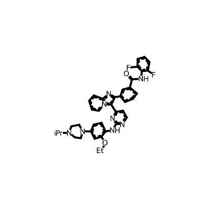 CCOc1cc(N2CCN(C(C)C)CC2)ccc1Nc1nccc(-c2c(-c3cccc(C(=O)Nc4c(F)cccc4F)c3)nc3ccccn23)n1